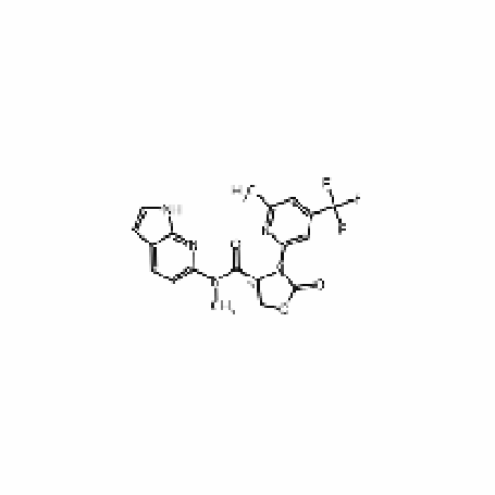 Cc1cc(C(F)(F)F)cc(N2C(=O)OC[C@H]2C(=O)N(C)c2ccc3cc[nH]c3n2)n1